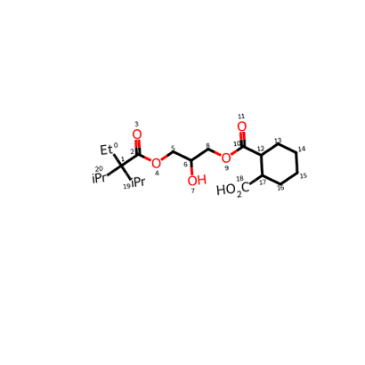 CCC(C(=O)OCC(O)COC(=O)C1CCCCC1C(=O)O)(C(C)C)C(C)C